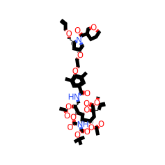 C=CCOC[C@H]1C[C@@H](OCCOc2c(C)cc(C(=O)NC[C@@H](OC(C)=O)[C@@H](OC(C)=O)[C@@H]3O[C@@](CC=C)(C(=O)OC)C[C@H](OC(C)=O)[C@H]3NC(=O)OC(C)(C)C)cc2C)CN1C(=O)C1CCCOC1